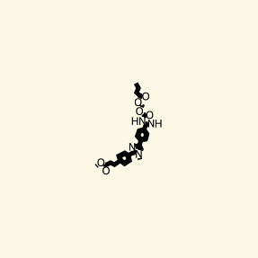 CCCC(=O)OCOC(=O)NC(=N)c1ccc(-c2cn(C)c(-c3ccc(CCC(=O)OC)cc3)n2)cc1